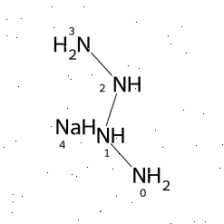 NNNN.[NaH]